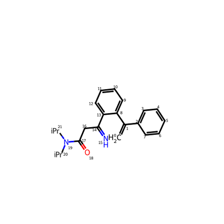 C=C(c1ccccc1)c1ccccc1C(=N)CC(=O)N(C(C)C)C(C)C